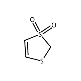 O=S1(=O)C=CSC1